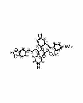 COc1ccc(C2Sc3cc(Cl)ccc3N(C(CCCc3ccc4c(c3)OCO4)N3CCNCC3)C(=O)C2OC(C)=O)cc1